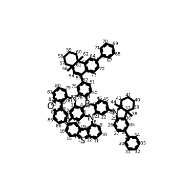 Cc1cc2c3c(c1)N(c1cccc4sc5ccccc5c14)c1cc(N4c5ccc(-c6ccccc6)cc5C5(C)CCCCC45C)ccc1B3c1ccc(C3=CC4(C)CCCCC4(C)c4cc(-c5ccccc5)ccc43)cc1N2c1cccc2oc3ccccc3c12